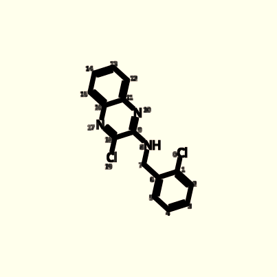 Clc1ccccc1CNc1nc2ccccc2nc1Cl